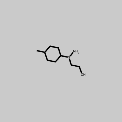 CC1CCC(N(N)CCO)CC1